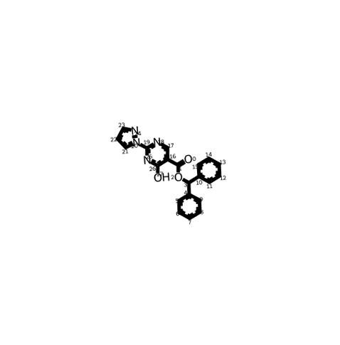 O=C(OC(c1ccccc1)c1ccccc1)c1cnc(-n2cccn2)nc1O